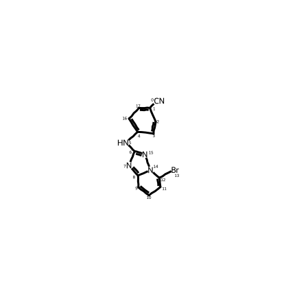 N#Cc1ccc(Nc2nc3cccc(Br)n3n2)cc1